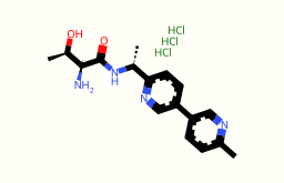 Cc1ccc(-c2ccc([C@@H](C)NC(=O)[C@@H](N)[C@@H](C)O)nc2)cn1.Cl.Cl.Cl